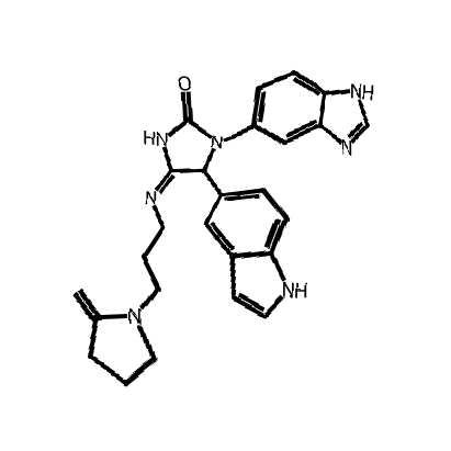 C=C1CCCN1CCC/N=C1/NC(=O)N(c2ccc3[nH]cnc3c2)C1c1ccc2[nH]ccc2c1